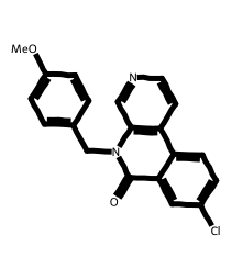 COc1ccc(Cn2c(=O)c3cc(Cl)ccc3c3ccncc32)cc1